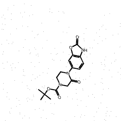 CC(C)(C)OC(=O)N1CCN(c2ccc3[nH]c(=O)oc3c2)C(=O)C1